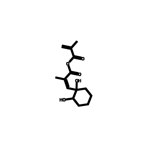 C=C(C)C(=O)OC(=O)C(C)=CC1(O)CCCCC1O